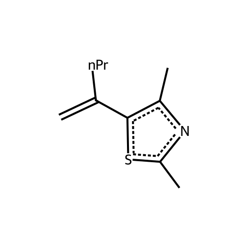 C=C(CCC)c1sc(C)nc1C